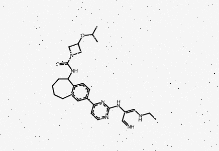 CCN/C=C(\C=N)Nc1nccc(-c2ccc3c(c2)CCCCC3NC(=O)N2CC(OC(C)C)C2)n1